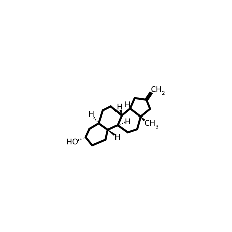 C=C1C[C@@H]2[C@H]3CC[C@@H]4C[C@@H](O)CC[C@H]4[C@@H]3CC[C@@]2(C)C1